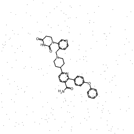 NC(=O)c1ccc(C2CCN(Cc3ccncc3N3CCC(=O)NC3=O)CC2)nc1-c1ccc(Oc2ccccc2)cc1